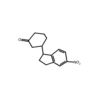 O=C1CCCC(C2CCc3cc([N+](=O)[O-])ccc32)C1